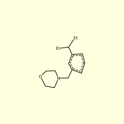 CCC(CC)c1cccc(CN2CCOCC2)c1